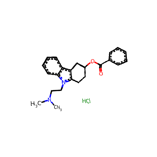 CN(C)CCn1c2c(c3ccccc31)CC(OC(=O)c1ccccc1)CC2.Cl